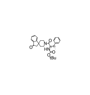 C[C@@H](c1ccccc1)[C@H](NC(=O)OC(C)(C)C)C(=O)N1CCC2(CC1)CC(=O)c1ccccc12